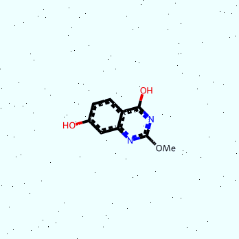 COc1nc(O)c2ccc(O)cc2n1